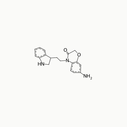 Nc1ccc2c(c1)OCC(=O)N2CCC1CNc2ccccc21